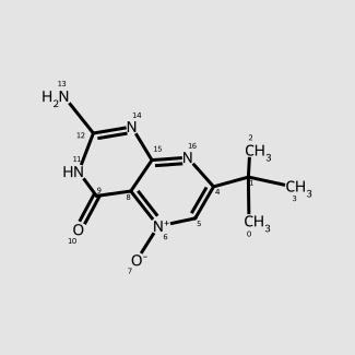 CC(C)(C)c1c[n+]([O-])c2c(=O)[nH]c(N)nc2n1